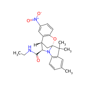 CCNC(=O)[C@H]1[C@H]2C[C@]3(Oc4ccc([N+](=O)[O-])cc42)N1c1ccc(C)cc1C3(C)C